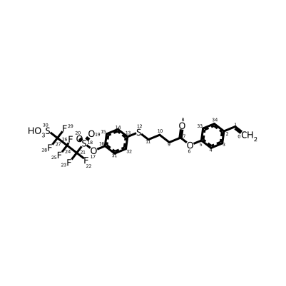 C=Cc1ccc(OC(=O)CCCSc2ccc(OS(=O)(=O)C(F)(F)C(F)(F)C(F)(F)S(=O)(=O)O)cc2)cc1